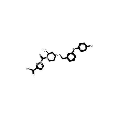 C[C@H]1C[C@H](OCc2cccc(Oc3ccc(Cl)cc3)c2)CCN1C(=O)n1ccc(C(=O)O)n1